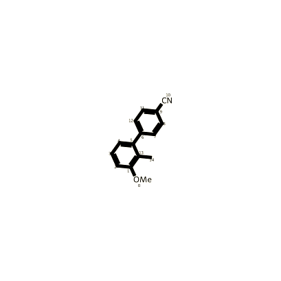 COc1cccc(-c2ccc(C#N)cc2)c1C